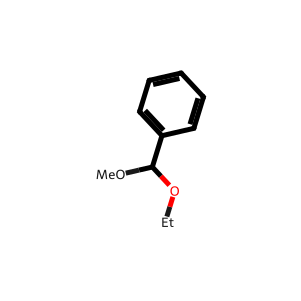 CCOC(OC)c1ccccc1